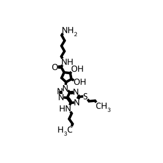 CCCCNc1nc(SCCC)nc2c1nnn2C1CC(C(=O)NCCCCCN)C(O)C1O